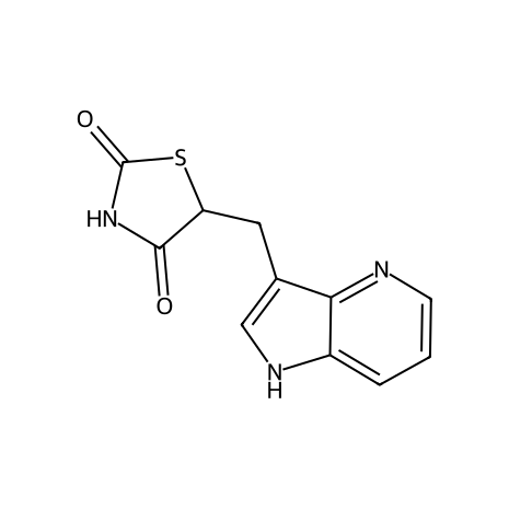 O=C1NC(=O)C(Cc2c[nH]c3cccnc23)S1